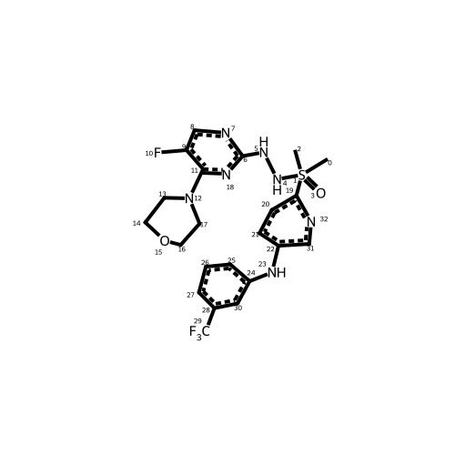 CS(C)(=O)(NNc1ncc(F)c(N2CCOCC2)n1)c1ccc(Nc2cccc(C(F)(F)F)c2)cn1